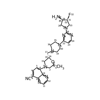 C[C@@H]1CN(c2ccc(C#N)c3nccnc23)C[C@H](CN2CCN(c3ccnc(N4C[C@@H](N)[C@@H](F)C4)n3)CC2)O1